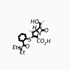 CCN(CC)C(=O)c1ccccc1SC1=C(C(=O)O)N2C(=O)[C@H]([C@@H](C)O)[C@H]2[C@H]1C